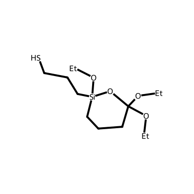 CCOC1(OCC)CCC[Si](CCCS)(OCC)O1